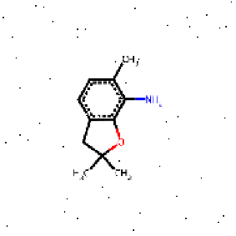 Cc1ccc2c(c1N)OC(C)(C)C2